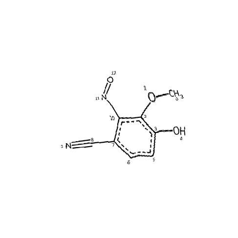 COc1c(O)ccc(C#N)c1N=O